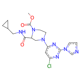 COC(=O)N1CCN(c2cc(Cl)nc(-n3ccnc3)n2)CC1C(=O)NCC1CC1